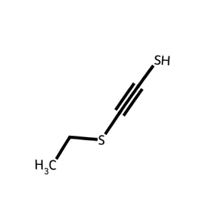 CCSC#CS